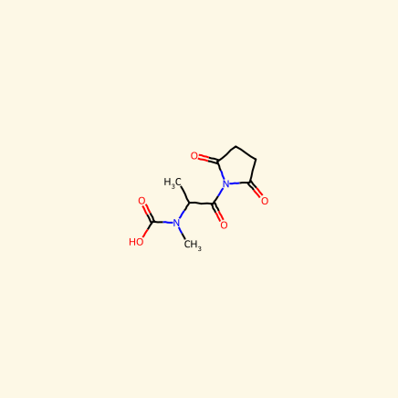 CC(C(=O)N1C(=O)CCC1=O)N(C)C(=O)O